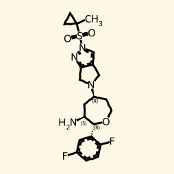 CC1(S(=O)(=O)n2cc3c(n2)CN([C@H]2CCO[C@H](c4cc(F)ccc4F)[C@@H](N)C2)C3)CC1